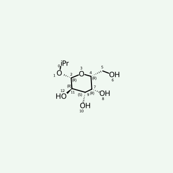 CC(C)O[C@@H]1O[C@H](CO)[C@H](O)[C@H](O)[C@H]1O